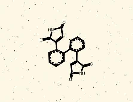 O=C1C=C(c2ccccc2-c2ccccc2C2=CC(=O)NC2=O)C(=O)N1